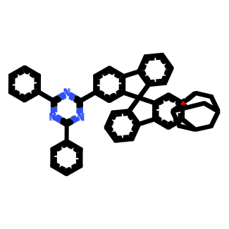 c1ccc(-c2nc(-c3ccccc3)nc(-c3ccc4c(c3)C3(c5ccccc5-4)c4ccccc4-c4cc5c(cc43)C3CC4CC(CC5C4)C3)n2)cc1